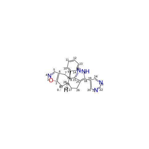 C[C@@H]1c2oncc2C[C@]2(c3ccccc3)c3n[nH]c(-c4cncnc4)c3CC[C@@H]12